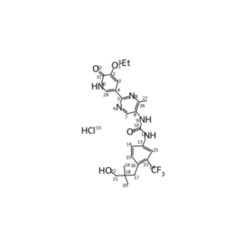 CCOc1cc(-c2ncc(NC(=O)Nc3ccc(CC(C)(C)CO)c(C(F)(F)F)c3)c(C)n2)c[nH]c1=O.Cl